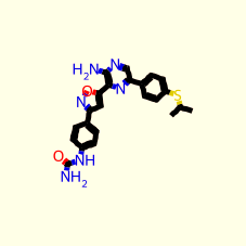 CC(C)Sc1ccc(-c2cnc(N)c(-c3cc(-c4ccc(NC(N)=O)cc4)no3)n2)cc1